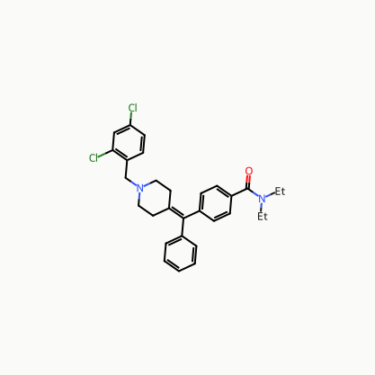 CCN(CC)C(=O)c1ccc(C(=C2CCN(Cc3ccc(Cl)cc3Cl)CC2)c2ccccc2)cc1